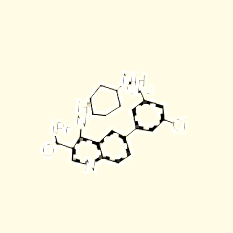 CC(C)C(=O)c1cnc2ccc(-c3cc(Cl)cc(Cl)c3)cc2c1N[C@H]1CC[C@H](N)CC1